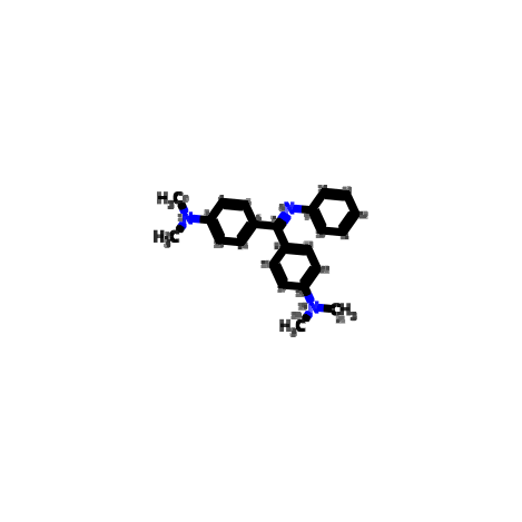 CN(C)c1ccc(C(=Nc2ccccc2)c2ccc(N(C)C)cc2)cc1